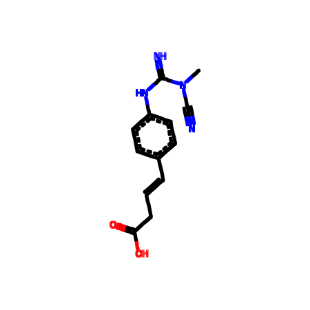 CN(C#N)C(=N)Nc1ccc(/C=C/CC(=O)O)cc1